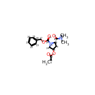 C=CC(=O)O[C@@H]1C[C@@H](C(=O)N(C)C)N(C(=O)OCc2ccccc2)C1